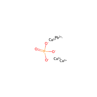 O=P([O-])([O-])[O-].[Ca+2].[Ca+2].[Ca+2].[Pb+2]